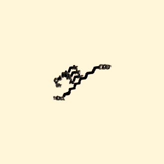 CC(=O)CC(C)=O.CC(=O)CC(C)=O.CC(=O)CC(C)=O.CC(C)[O][Al+][O]C(C)C.CCCCCCCCC=CCCCCCCCCCC(=O)[O-]